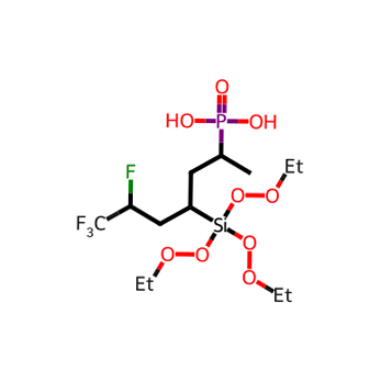 CCOO[Si](OOCC)(OOCC)C(CC(F)C(F)(F)F)CC(C)P(=O)(O)O